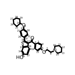 O=C(c1ccc(OCCN2CCCCC2)cc1)c1c(-c2ccc(OC3CCCCC3)cc2)sc2cc(O)ccc12